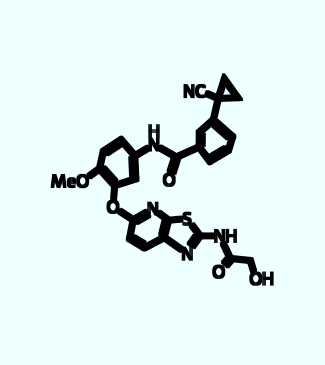 COc1ccc(NC(=O)c2cccc(C3(C#N)CC3)c2)cc1Oc1ccc2nc(NC(=O)CO)sc2n1